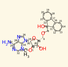 CO[C@@H]1[C@H](O)[C@@H](COCC2(O)c3ccccc3-c3ccccc32)O[C@H]1n1cnc2c(N)ncnc21